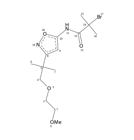 COCCOCC(C)(C)c1cc(NC(=O)C(C)(C)Br)on1